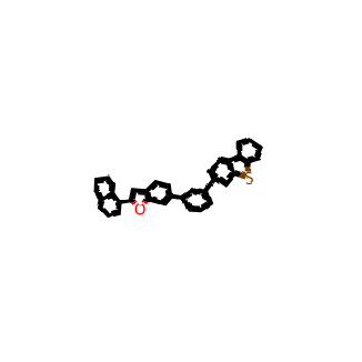 c1cc(-c2ccc3cc(-c4cccc5ccccc45)oc3c2)cc(-c2ccc3c(c2)sc2ccccc23)c1